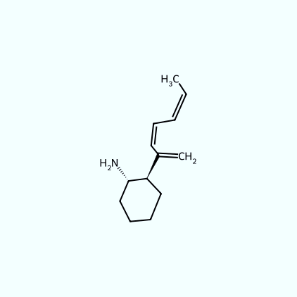 C=C(/C=C\C=C/C)[C@H]1CCCC[C@@H]1N